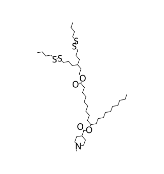 CCCCCCCCCCC(CCCCCCCCC(=O)OCCC(CCCSSCCCC)CCCSSCCCC)OC(=O)C1CCN(C)CC1